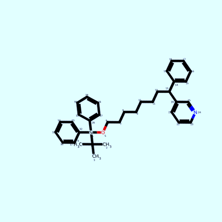 CC(C)(C)[Si](OCCCCCCCC(c1ccccc1)c1cccnc1)(c1ccccc1)c1ccccc1